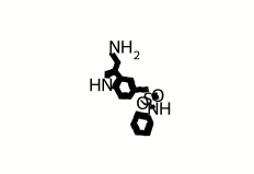 NCCc1c[nH]c2ccc(CS(=O)(=O)Nc3ccccc3)cc12